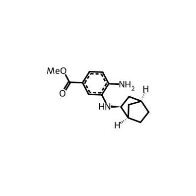 COC(=O)c1ccc(N)c(N[C@H]2C[C@H]3CC[C@@H]2C3)c1